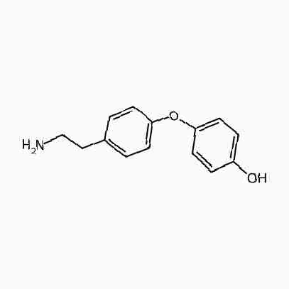 NCCc1ccc(Oc2ccc(O)cc2)cc1